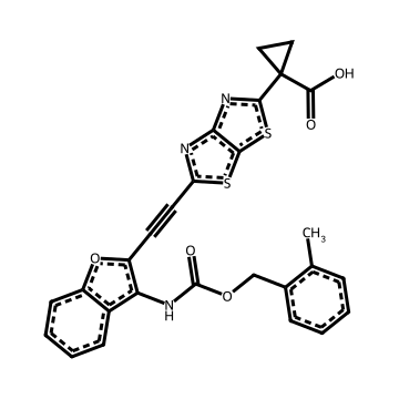 Cc1ccccc1COC(=O)Nc1c(C#Cc2nc3nc(C4(C(=O)O)CC4)sc3s2)oc2ccccc12